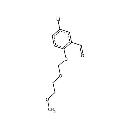 COCCOCOc1ccc(Cl)cc1C=O